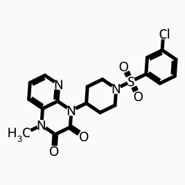 Cn1c(=O)c(=O)n(C2CCN(S(=O)(=O)c3cccc(Cl)c3)CC2)c2ncccc21